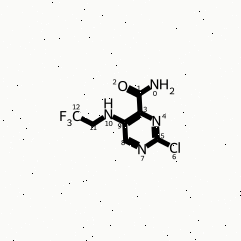 NC(=O)c1nc(Cl)ncc1NCC(F)(F)F